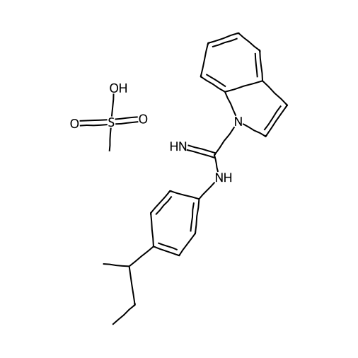 CCC(C)c1ccc(NC(=N)n2ccc3ccccc32)cc1.CS(=O)(=O)O